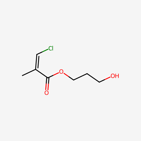 CC(=CCl)C(=O)OCCCO